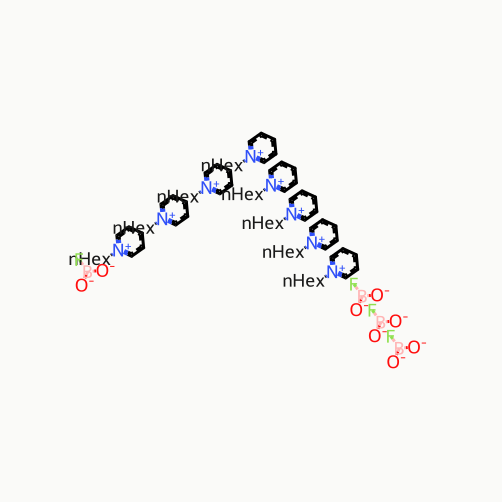 CCCCCC[n+]1ccccc1.CCCCCC[n+]1ccccc1.CCCCCC[n+]1ccccc1.CCCCCC[n+]1ccccc1.CCCCCC[n+]1ccccc1.CCCCCC[n+]1ccccc1.CCCCCC[n+]1ccccc1.CCCCCC[n+]1ccccc1.[O-]B([O-])F.[O-]B([O-])F.[O-]B([O-])F.[O-]B([O-])F